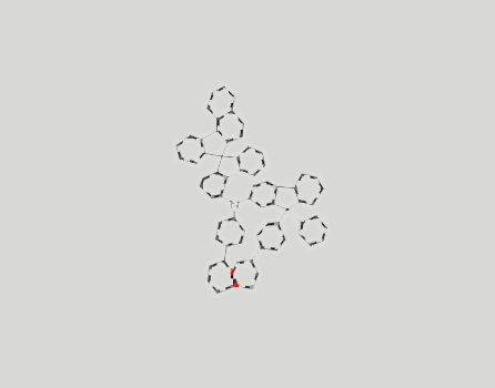 c1ccc(-c2ccc(N(c3ccc4c(c3)C(c3ccccc3)(c3ccc(-c5ccccc5)cc3)c3ccccc3-4)c3cccc4c3-c3ccccc3C43c4ccccc4-c4c3ccc3ccccc43)cc2)cc1